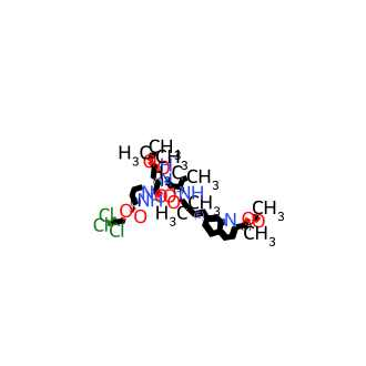 CC(=O)O[C@H](C)c1ccc2ccc(/C=C/C(C)(C)C(=O)N[C@H](C(=O)N[C@@H](CC(=O)OC(C)(C)C)C(=O)N3CCC[C@@H](C(=O)OCC(Cl)(Cl)Cl)N3)C(C)C)cc2n1